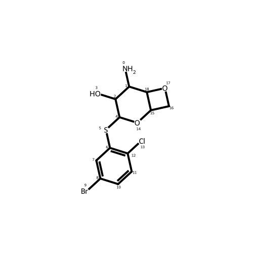 NC1C(O)C(Sc2cc(Br)ccc2Cl)OC2COC21